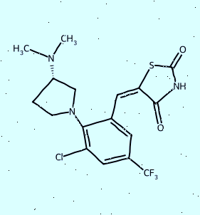 CN(C)[C@H]1CCN(c2c(Cl)cc(C(F)(F)F)cc2C=C2SC(=O)NC2=O)C1